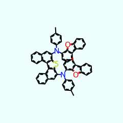 Cc1ccc(N(c2cccc3c2oc2ccccc23)c2cc3ccccc3c3c2sc2c(N(c4ccc(C)cc4)c4cccc5c4oc4ccccc45)cc4ccccc4c23)cc1